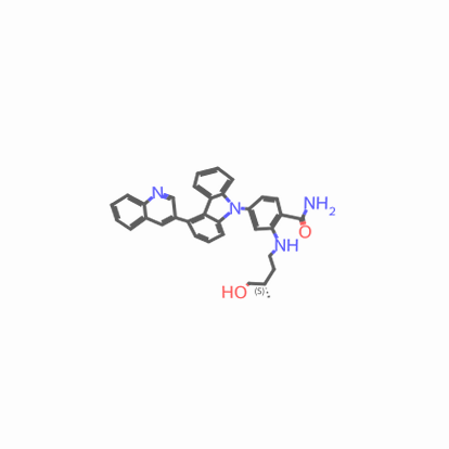 C[C@H](CO)CCNc1cc(-n2c3ccccc3c3c(-c4cnc5ccccc5c4)cccc32)ccc1C(N)=O